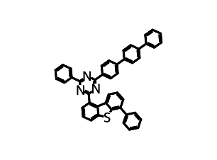 c1ccc(-c2ccc(-c3ccc(-c4nc(-c5ccccc5)nc(-c5cccc6sc7c(-c8ccccc8)cccc7c56)n4)cc3)cc2)cc1